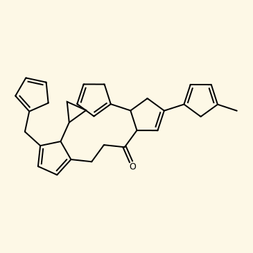 CC1=CC=C(C2=CC(C(=O)CCC3=CC=C(CC4=CC=CC4)C3C3CC3)C(C3=CC=CC3)C2)C1